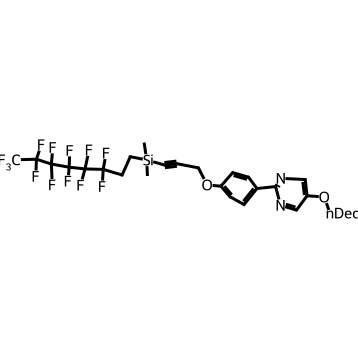 CCCCCCCCCCOc1cnc(-c2ccc(OCC#C[Si](C)(C)CCC(F)(F)C(F)(F)C(F)(F)C(F)(F)C(F)(F)C(F)(F)F)cc2)nc1